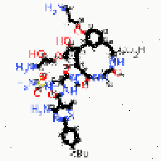 Cc1nc(-c2ccc(C(C)(C)C)cc2)nc(N)c1C(=O)N[C@@H](CNS(N)(=O)=O)C(=O)N(C)[C@@H]1C(=O)N[C@@H](C)C(=O)N[C@H](C(=O)O)Cc2ccc(OCCCN)c(c2)-c2cc1cc(OC[C@@H](O)CN)c2O